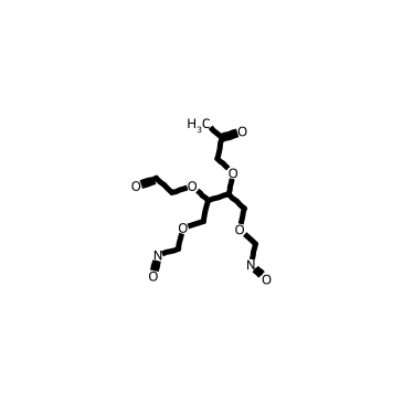 CC(=O)COC(COCN=O)C(COCN=O)OCC=O